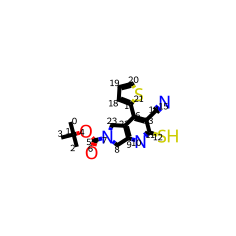 CC(C)(C)OC(=O)N1Cc2nc(S)c(C#N)c(-c3cccs3)c2C1